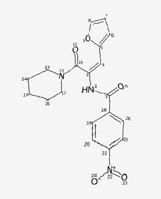 O=C(NC(=Cc1ccco1)C(=O)N1CCCCC1)c1ccc([N+](=O)[O-])cc1